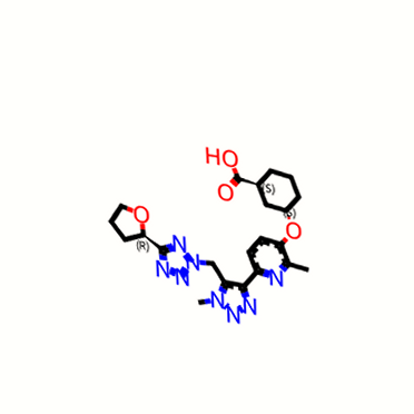 Cc1nc(-c2nnn(C)c2Cn2nnc([C@H]3CCCO3)n2)ccc1O[C@H]1CCC[C@H](C(=O)O)C1